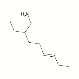 CCC=CCCC(CC)CN